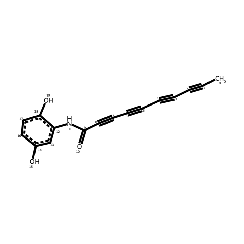 CC#CC#CC#CC#CC(=O)Nc1cc(O)ccc1O